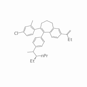 C=C(CC)c1ccc2c(c1)CCCC(c1ccc(Cl)cc1C)=C2c1ccc(C(C)[C@H](CC)CCC)cc1